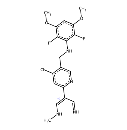 CN/C=C(\C=N)c1cc(Cl)c(CNc2c(F)c(OC)cc(OC)c2F)cn1